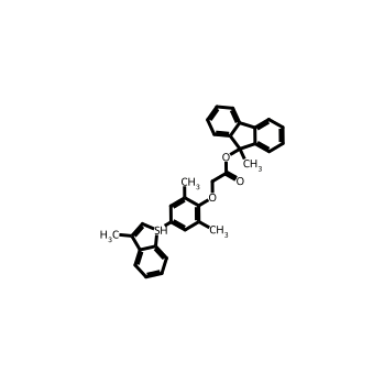 CC1=C[SH](c2cc(C)c(OCC(=O)OC3(C)c4ccccc4-c4ccccc43)c(C)c2)c2ccccc21